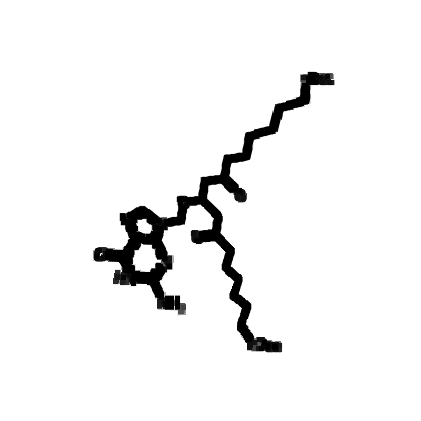 CCCCCCCCCCCCCCCCC(=O)CC(CC(=O)CCCCCCCCCCCCCCCC)OCn1cnc2c(=O)[nH]c(N)nc21